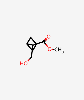 COC(=O)C12CC(C1)C2CO